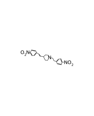 O=[N+]([O-])c1ccc(C=CC2CCN(CCc3ccc([N+](=O)[O-])cc3)CC2)cc1